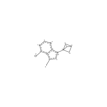 Clc1ncnc2c1c(I)cn2C12CC(C1)C2